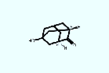 O=C1[C@@H]2CC3C[C@H]1CC(O)(C3)C2